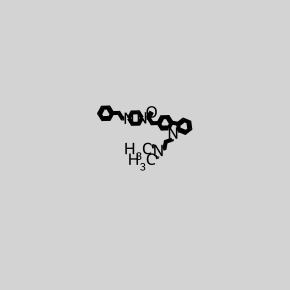 CCN(CC)CCCn1c2ccccc2c2ccc(CC(=O)N3CCN(CCc4ccccc4)CC3)cc21